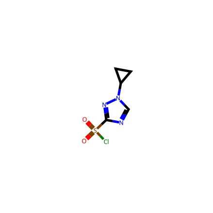 O=S(=O)(Cl)c1ncn(C2CC2)n1